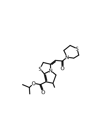 CC(C)OC(=O)C1=C2SCC(=CC(=O)N3CCSCC3)N2CC1C